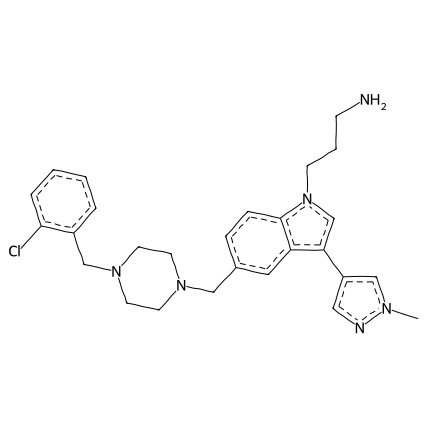 Cn1cc(-c2cn(CCCN)c3ccc(CN4CCN(Cc5ccccc5Cl)CC4)cc23)cn1